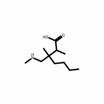 CCCCC(C)(CNC)C(C)C(=O)O